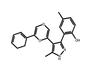 Cc1ccc(O)c(-c2n[nH]c(C)c2C2=COC=C(C3=CC=CCC3)O2)c1